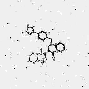 Cn1cc(-c2ccc(Cc3cc(C(=O)NC4CCCCC4O)c(=O)n4ccccc34)nc2)cn1